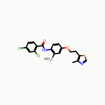 Cc1ncsc1CCOc1ccc(NC(=O)c2ccc(Cl)cc2Cl)c(C(=O)O)c1